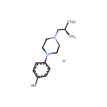 CC(CN1CCN(c2ccc(C(C)(C)C)cc2)CC1)C(=O)[O-].[Li+]